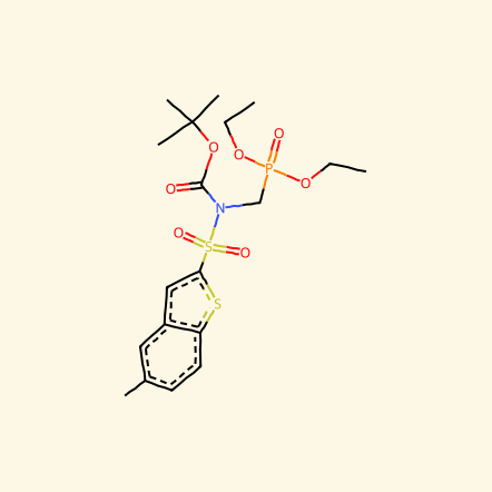 CCOP(=O)(CN(C(=O)OC(C)(C)C)S(=O)(=O)c1cc2cc(C)ccc2s1)OCC